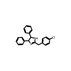 Clc1ccc(CC2=NC(c3ccccc3)C(c3ccccc3)N2)cc1